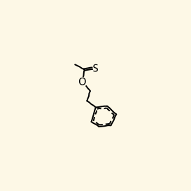 CC(=S)OCCc1ccccc1